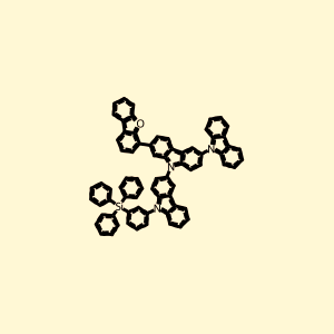 c1ccc([Si](c2ccccc2)(c2ccccc2)c2cccc(-n3c4ccccc4c4cc(-n5c6ccc(-n7c8ccccc8c8ccccc87)cc6c6ccc(-c7cccc8c7oc7ccccc78)cc65)ccc43)c2)cc1